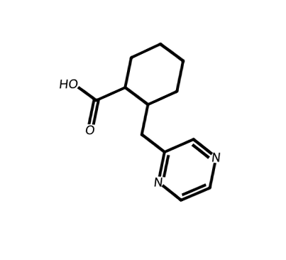 O=C(O)C1CCCCC1Cc1cnccn1